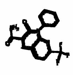 NC(=O)c1[c]c2ccc(C(F)(F)F)nc2n(-c2ccccc2)c1=O